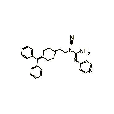 N#CN(CCN1CCC(=C(c2ccccc2)c2ccccc2)CC1)C(N)=Nc1ccncc1